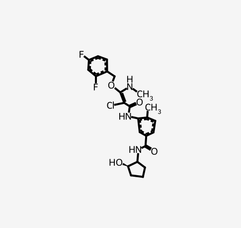 CN/C(OCc1ccc(F)cc1F)=C(/Cl)C(=O)Nc1cc(C(=O)NC2CCC[C@H]2O)ccc1C